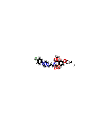 COc1ccc2c(c1)C1(CN(CCCN3CCN(c4ccc(F)cc4)CC3)S2(=O)=O)OCCO1